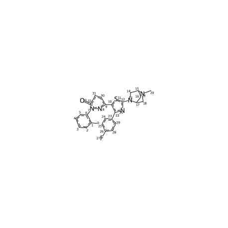 Cc1ccccc1-n1nc(-c2sc(N3CC4CC3CN4C)nc2-c2ccc(F)cc2)ccc1=O